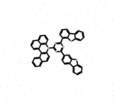 c1ccc2c3c(ccc2c1)N(c1nc(-c2ccc4c(c2)sc2ccccc24)nc(-c2cccc4c2sc2ccccc24)n1)c1cccc2cccc-3c12